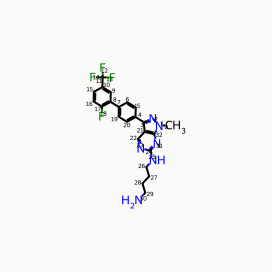 Cn1nc(-c2[c]cc(-c3cc(C(F)(F)F)ccc3F)cc2)c2cnc(NCCCCN)nc21